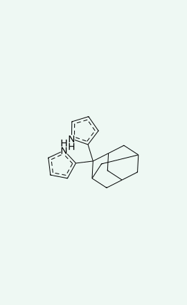 c1c[nH]c(C2(c3ccc[nH]3)C3CC4CC(C3)CC2C4)c1